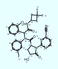 N#Cc1ccnc(N2C(=O)[C@H](O)C[C@H]2C(=O)N(c2cccc(F)c2)C(C(=O)NC2CC(F)(F)C2)c2ccccc2Cl)n1